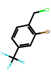 FC(F)(F)c1ccc(CCl)c(Br)c1